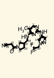 Cc1cnc(Nc2cnn(CC(F)F)c2)nc1NCC1CCN(C(=O)CC#N)C1